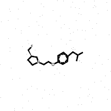 CC(C)Cc1ccc(OCCN2CC[C@@H](CF)C2)cc1